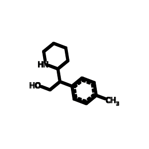 Cc1ccc(C(CO)C2CCCCN2)cc1